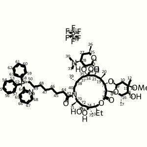 CC[C@H]1OC(=O)[C@H](C)[C@@H](O[C@H]2C[C@@](C)(OC)[C@@H](O)[C@H](C)O2)[C@H](C)[C@@H](O[C@@H]2O[C@H](C)C[C@H](N(C)C)[C@H]2O)[C@](C)(O)C[C@@H](C)CN(C(=O)CCCCCCC[P+](c2ccccc2)(c2ccccc2)c2ccccn2)[C@H](C)[C@@H](O)[C@]1(C)O.F[P-](F)(F)(F)(F)F